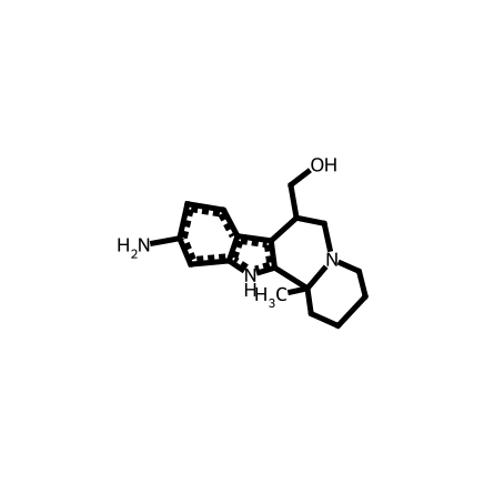 CC12CCCCN1CC(CO)c1c2[nH]c2cc(N)ccc12